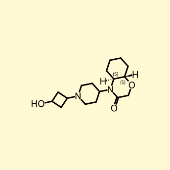 O=C1CO[C@H]2CCCC[C@@H]2N1C1CCN(C2CC(O)C2)CC1